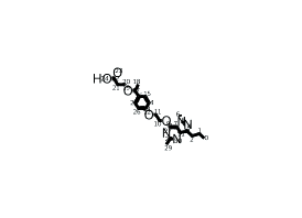 CCCc1nn(C)c2c(OCCOc3ccc(C(C)OCCC(=O)O)cc3)nc(C)nc12